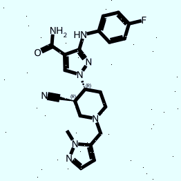 Cn1nccc1CN1CC[C@@H](n2cc(C(N)=O)c(Nc3ccc(F)cc3)n2)[C@H](C#N)C1